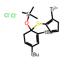 CC(C)(C)C1=CCC(O[Si](C)(C)C)(SC2=[C]([Ti+2])CC=C2)C(C(C)(C)C)=C1.[Cl-].[Cl-]